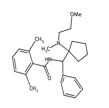 COCCN(C)C1(C(NC(=O)c2c(C)cccc2C)c2ccccc2)CCCC1